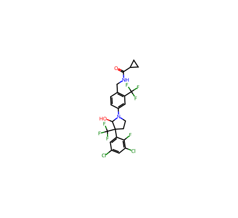 O=C(NCc1ccc(N2CCC(c3cc(Cl)cc(Cl)c3F)(C(F)(F)F)C2O)cc1C(F)(F)F)C1CC1